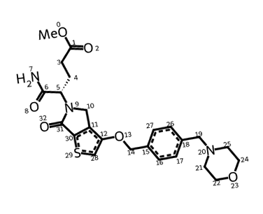 COC(=O)CC[C@@H](C(N)=O)N1Cc2c(OCc3ccc(CN4CCOCC4)cc3)csc2C1=O